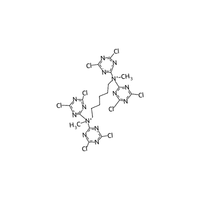 C[N+](CCCCCC[N+](C)(c1nc(Cl)nc(Cl)n1)c1nc(Cl)nc(Cl)n1)(c1nc(Cl)nc(Cl)n1)c1nc(Cl)nc(Cl)n1